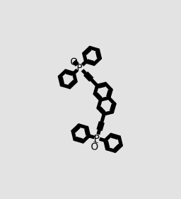 O=P(C#Cc1ccc2ccc(C#CP(=O)(c3ccccc3)c3ccccc3)cc2c1)(c1ccccc1)c1ccccc1